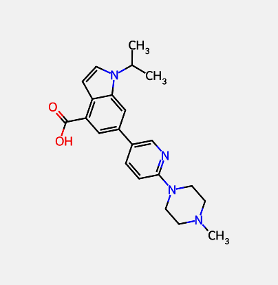 CC(C)n1ccc2c(C(=O)O)cc(-c3ccc(N4CCN(C)CC4)nc3)cc21